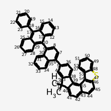 CC1(C)c2cc(-c3ccc(-c4c5ccccc5c(-c5ccccc5)c5ccccc45)c4ccccc34)ccc2-c2c1ccc1ccc3sc4ccccc4c3c21